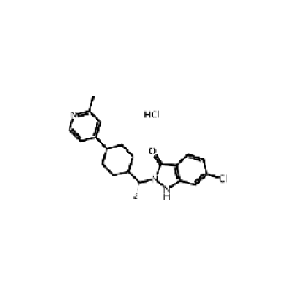 Cc1cc(C2CCC([C@@H](C)n3[nH]c4cc(Cl)ccc4c3=O)CC2)ccn1.Cl